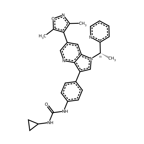 Cc1noc(C)c1-c1cnc2c(-c3ccc(NC(=O)NC4CC4)cc3)cn([C@@H](C)c3ccccn3)c2c1